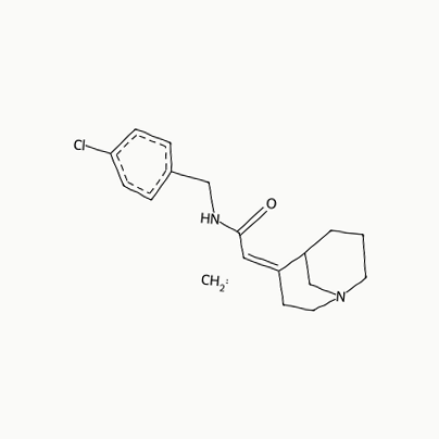 O=C(C=C1CCN2CCCC1C2)NCc1ccc(Cl)cc1.[CH2]